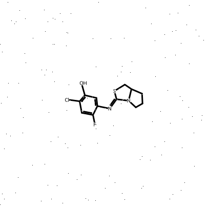 Oc1cc(N=C2SCC3CCCN23)c(F)cc1Cl